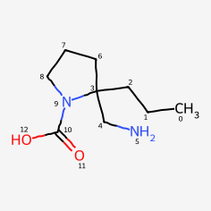 CCCC1(CN)CCCN1C(=O)O